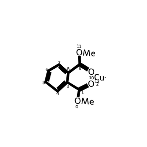 COC(=O)c1ccccc1C(=O)OC.[Cu]